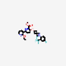 CCOc1ncccc1-c1ccc(OC2CC3(C2)CN(c2ccc(F)cc2C(F)(F)F)C3)c(C(=O)OC)n1